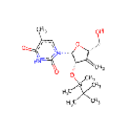 C=C1[C@@H](CO)O[C@@H](n2cc(C)c(=O)[nH]c2=O)[C@H]1O[Si](C)(C)C(C)(C)C